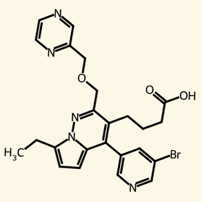 CCc1ccc2c(-c3cncc(Br)c3)c(CCCC(=O)O)c(COCc3cnccn3)nn12